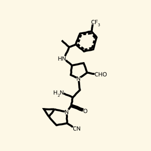 CC(NC1CC(C=O)N(CC(N)C(=O)N2C(C#N)CC3CC32)C1)c1cccc(C(F)(F)F)c1